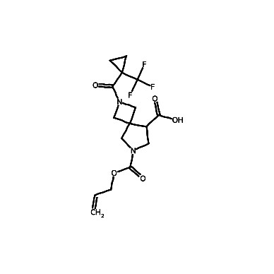 C=CCOC(=O)N1CC(C(=O)O)C2(C1)CN(C(=O)C1(C(F)(F)F)CC1)C2